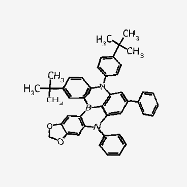 CC(C)(C)c1ccc(N2c3ccc(C(C)(C)C)cc3B3c4cc5c(cc4N(c4ccccc4)c4cc(-c6ccccc6)cc2c43)OCO5)cc1